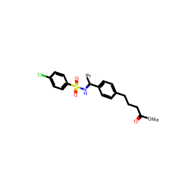 COC(=O)CCCc1ccc(C(NS(=O)(=O)c2ccc(Cl)cc2)C(C)C)cc1